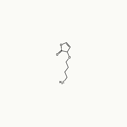 CCCCCOC1C=COC1=O